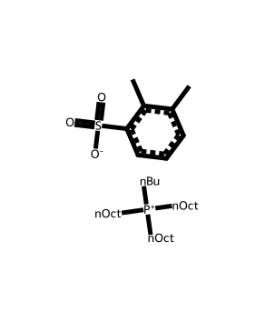 CCCCCCCC[P+](CCCC)(CCCCCCCC)CCCCCCCC.Cc1cccc(S(=O)(=O)[O-])c1C